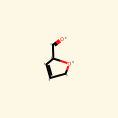 O=CC1C=CCO1